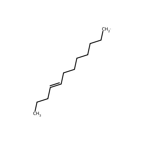 [CH2]CCCCCCC=CCCC